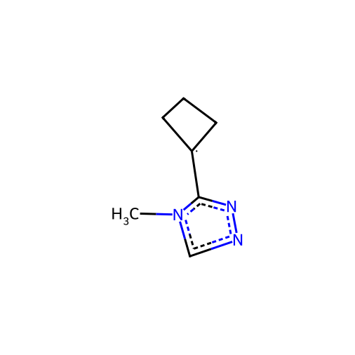 Cn1cnnc1[C]1CCC1